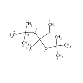 [CH2]C(CC)(OC(C)(C)C)OC(C)(C)C